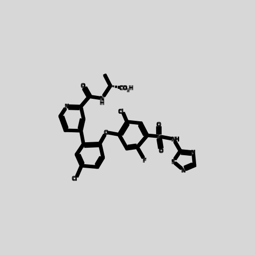 C[C@@H](NC(=O)c1cc(-c2cc(Cl)ccc2Oc2cc(F)c(S(=O)(=O)Nc3ncns3)cc2Cl)ccn1)C(=O)O